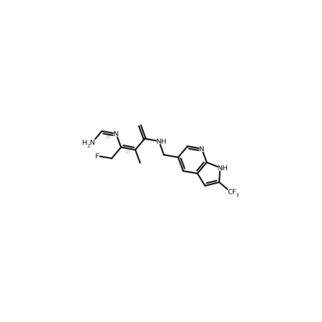 C=C(NCc1cnc2[nH]c(C(F)(F)F)cc2c1)/C(C)=C(CF)\N=C/N